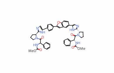 COC(=O)NC(C(=O)N1CCC[C@H]1c1ncc(-c2ccc(-c3cc4cc(-c5cnc([C@@H]6CCCN6C(=O)[C@H](NC(=O)OC)c6ccccc6)[nH]5)ccc4o3)cc2)[nH]1)c1ccccc1